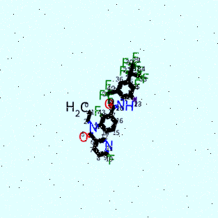 C=CCN(C(=O)c1ccc(F)nc1)c1cccc(C(=O)Nc2c(I)cc(C(F)(C(F)(F)F)C(F)(F)F)cc2C(F)(F)F)c1F